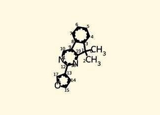 CC1(C)c2ccccc2-c2cnc(-c3ccoc3)nc21